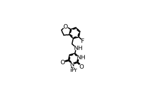 CC(C)n1c(=O)cc(NCc2c(F)ccc3c2CCO3)[nH]c1=O